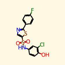 O=S(=O)(Nc1ccc(O)c(Cl)c1)c1cnc(-c2ccc(F)cc2)s1